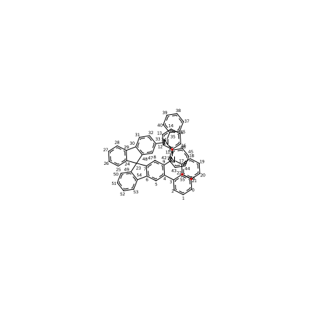 c1ccc(-c2cc3c(cc2N(c2ccccc2)c2ccccc2)C2(c4ccccc4-c4ccc(N(c5ccccc5)c5ccccc5)cc42)c2ccccc2-3)cc1